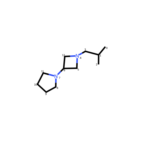 CC(C)CN1CC(N2CCCC2)C1